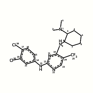 CN(C)C1CCCCC1Nc1nc(Nc2ccc(Cl)c(Cl)c2)ncc1C(F)(F)F